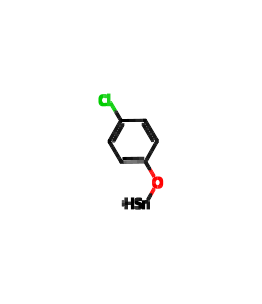 Clc1ccc([O][SnH])cc1